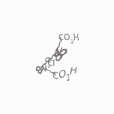 O=C(O)CCCCCn1/c(=C/C=C2\CCCC(/C=C/C3=[N+](CCCCCC(=O)O)c4cccc5cccc3c45)=C2Cl)c2cccc3cccc1c32